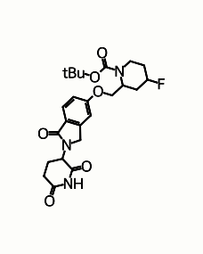 CC(C)(C)OC(=O)N1CCC(F)CC1COc1ccc2c(c1)CN(C1CCC(=O)NC1=O)C2=O